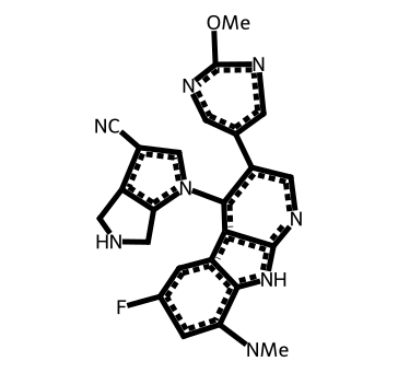 CNc1cc(F)cc2c1[nH]c1ncc(-c3cnc(OC)nc3)c(-n3cc(C#N)c4c3CNC4)c12